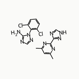 Cc1cc(C)nc(-c2nc[nH]n2)n1.Nc1ncnn1-c1c(Cl)cccc1Cl